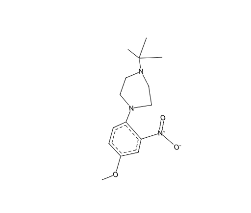 COc1ccc(N2CCN(C(C)(C)C)CC2)c([N+](=O)[O-])c1